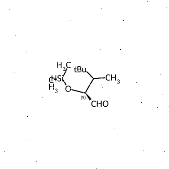 CC([C@@H](C=O)O[SiH](C)C)C(C)(C)C